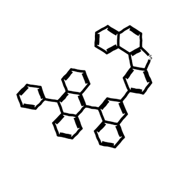 c1ccc(-c2c3ccccc3c(-c3cc(-c4ccc5sc6ccc7ccccc7c6c5c4)cc4ccccc34)c3ccccc23)cc1